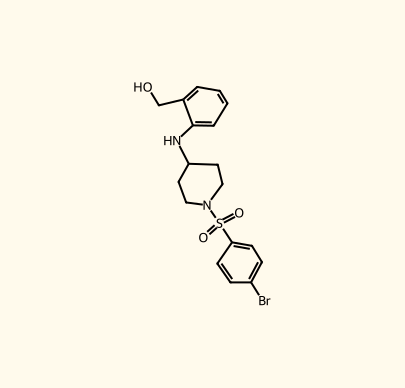 O=S(=O)(c1ccc(Br)cc1)N1CCC(Nc2ccccc2CO)CC1